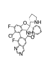 NC(=O)c1cc2cncnc2c(F)c1-c1c(Cl)c(F)cc2c1C[C@](c1ccccc1)([C@@H]1CCCN1)O2